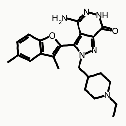 CCN1CCC(Cn2nc3c(=O)[nH]nc(N)c3c2-c2oc3ccc(C)cc3c2C)CC1